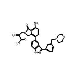 C=C(CN1Cc2c(-c3ccc4[nH]nc(-c5cccc(CN6CCOCC6)c5)c4c3)ccc(N)c2C1=O)C(N)=O